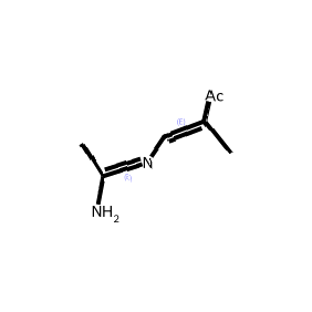 CC(=O)/C(C)=C/N=C(\C)N